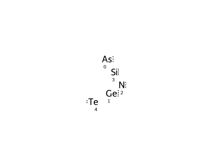 [As].[Ge].[N].[Si].[Te]